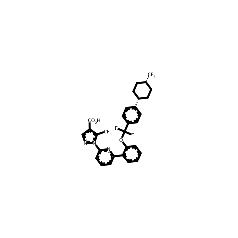 O=C(O)c1cnn(-c2cccc(-c3ccccc3OC(F)(F)c3ccc([C@H]4CC[C@@H](C(F)(F)F)CC4)cc3)n2)c1C(F)(F)F